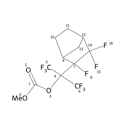 COC(=O)OC(C(F)(F)F)(C(F)(F)F)C1(F)C2CCC(C2)C1(F)F